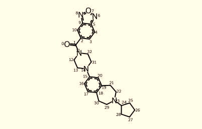 O=C(c1ccc2nonc2c1)N1CCN(c2ccc3c(c2)CCN(C2CCCC2)CC3)CC1